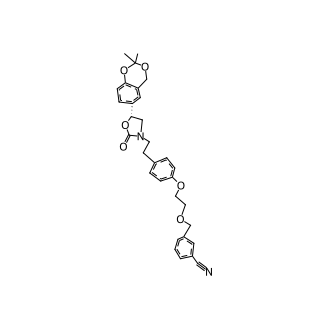 CC1(C)OCc2cc([C@@H]3CN(CCc4ccc(OCCOCc5cccc(C#N)c5)cc4)C(=O)O3)ccc2O1